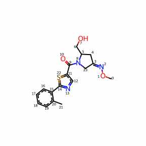 CO/N=C1/CC(CO)N(C(=O)c2cnc(-c3ccccc3C)s2)C1